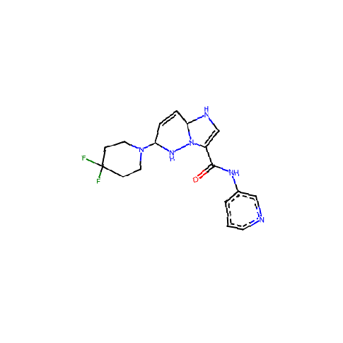 O=C(Nc1cccnc1)C1=CNC2C=CC(N3CCC(F)(F)CC3)NN12